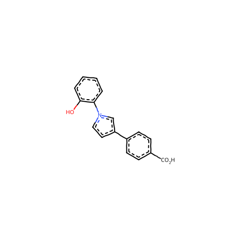 O=C(O)c1ccc(-c2ccn(-c3ccccc3O)c2)cc1